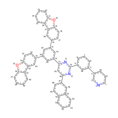 c1cncc(-c2cccc(-c3nc(-c4cc(-c5ccc6oc7ccccc7c6c5)cc(-c5ccc6oc7ccccc7c6c5)c4)cc(-c4ccc5ccccc5c4)n3)c2)c1